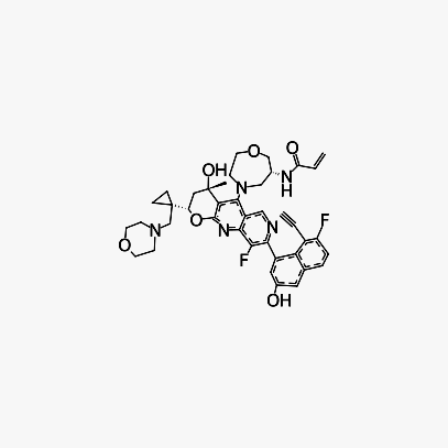 C#Cc1c(F)ccc2cc(O)cc(-c3ncc4c(N5CCOC[C@H](NC(=O)C=C)C5)c5c(nc4c3F)O[C@H](C3(CN4CCOCC4)CC3)C[C@]5(C)O)c12